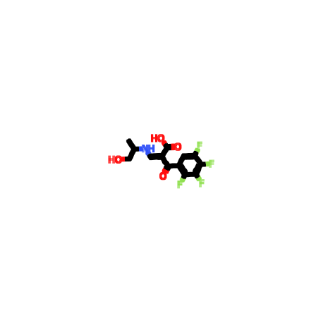 CC(CO)NC=C(C(=O)O)C(=O)c1cc(F)c(F)c(F)c1F